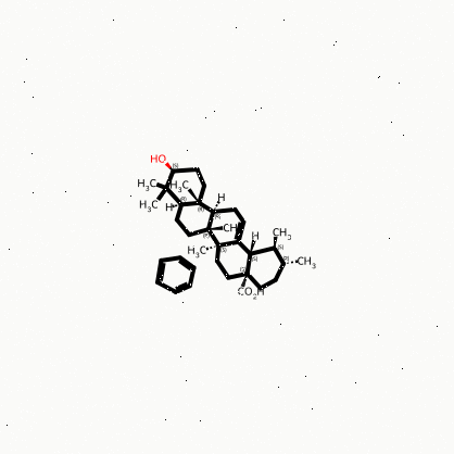 C[C@H]1[C@H](C)CC[C@]2(C(=O)O)CC[C@]3(C)C(=CC[C@@H]4[C@@]5(C)CC[C@H](O)C(C)(C)[C@@H]5CC[C@]43C)[C@H]12.c1ccccc1